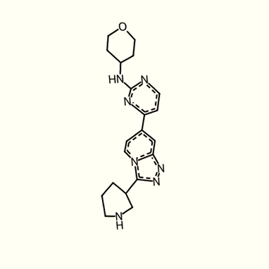 c1cc(-c2ccn3c(C4CCCNC4)nnc3c2)nc(NC2CCOCC2)n1